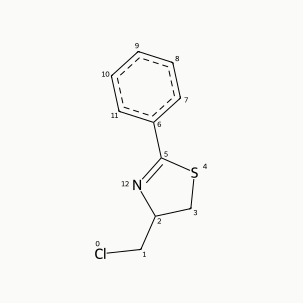 ClCC1CSC(c2ccccc2)=N1